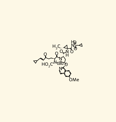 C=C[C@@H]1C[C@]1(NC(=O)[C@@H]1C[C@@H](Oc2nccc3cc(OC)ccc23)CN1C(=O)[C@H](CCC(=O)C=CC1CC1)N(C(=O)O)C(C)(C)C)C(=O)NS(=O)(=O)C1CC1